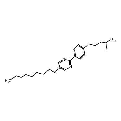 CCCCCCCCCc1cnc(-c2ccc(OCCC(C)F)cc2)nc1